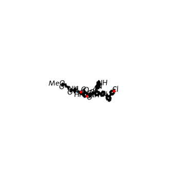 COC(=O)CCCCNC(=O)C1CN(CCCNc2ccc(S(=O)(=O)NC(=O)c3ccc(N4CCN(CC5=C(c6ccc(Cl)cc6)CC(C)(C)CC5)CC4)cc3Oc3cnc4[nH]ccc4c3)cc2S(=O)(=O)C(F)(F)F)C1